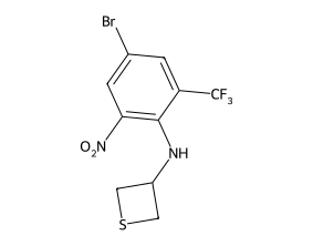 O=[N+]([O-])c1cc(Br)cc(C(F)(F)F)c1NC1CSC1